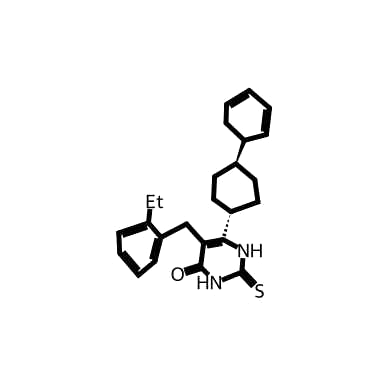 CCc1ccccc1Cc1c(=O)[nH]c(=S)[nH]c1[C@H]1CC[C@H](C2C=CC=CC2)CC1